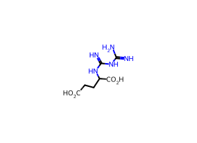 N=C(N)NC(=N)NC(CCC(=O)O)C(=O)O